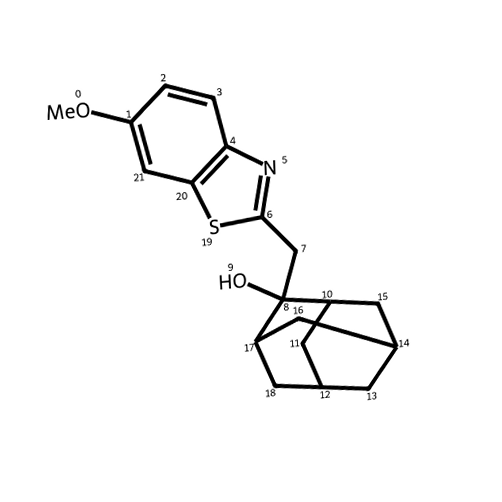 COc1ccc2nc(CC3(O)C4CC5CC(C4)CC3C5)sc2c1